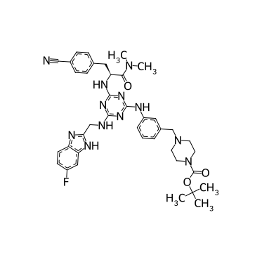 CN(C)C(=O)[C@H](Cc1ccc(C#N)cc1)Nc1nc(NCc2nc3ccc(F)cc3[nH]2)nc(Nc2cccc(CN3CCN(C(=O)OC(C)(C)C)CC3)c2)n1